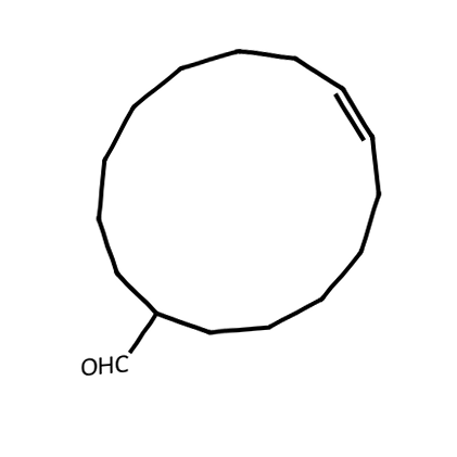 O=CC1CCCCC/C=C\CCCCCCC1